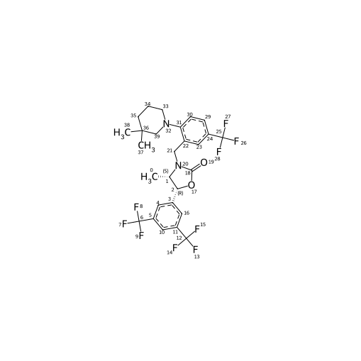 C[C@H]1[C@@H](c2cc(C(F)(F)F)cc(C(F)(F)F)c2)OC(=O)N1Cc1cc(C(F)(F)F)ccc1N1CCCC(C)(C)C1